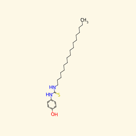 CCCCCCCCCCCCCCCCCCNC(=S)Nc1ccc(O)cc1